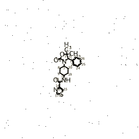 CC1(C)OC(=O)N(C2CCC(NC(=O)c3cscn3)CC2)C1c1ccccc1